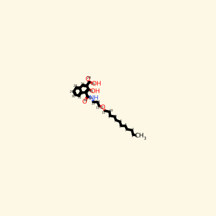 CCCCCCCCCCCCOCCCNC(=O)c1c(O)c(C(=O)O)cc2ccccc12